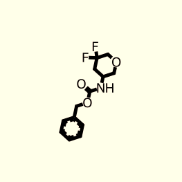 O=C(NC1COCC(F)(F)C1)OCc1ccccc1